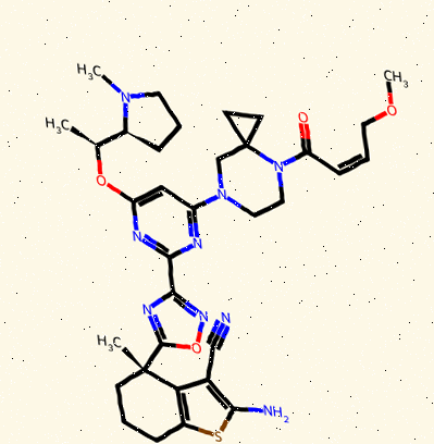 COC/C=C\C(=O)N1CCN(c2cc(O[C@@H](C)[C@@H]3CCCN3C)nc(-c3noc([C@@]4(C)CCCc5sc(N)c(C#N)c54)n3)n2)CC12CC2